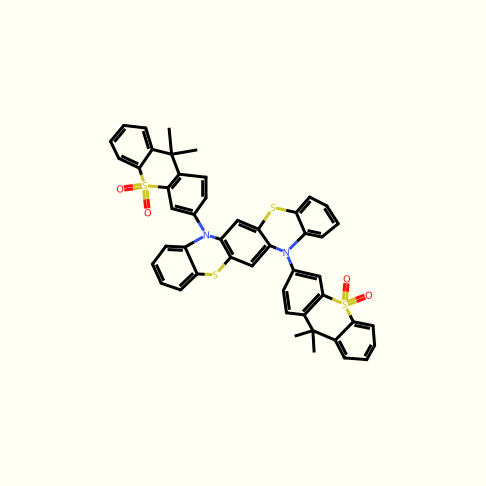 CC1(C)c2ccccc2S(=O)(=O)c2cc(-n3c4ccccc4sc4cc5c(cc43)sc3ccccc3n5-c3ccc4c(c3)S(=O)(=O)c3ccccc3C4(C)C)ccc21